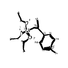 CCO[Si](OCC)(OCC)C(C)c1ccc(C)cc1